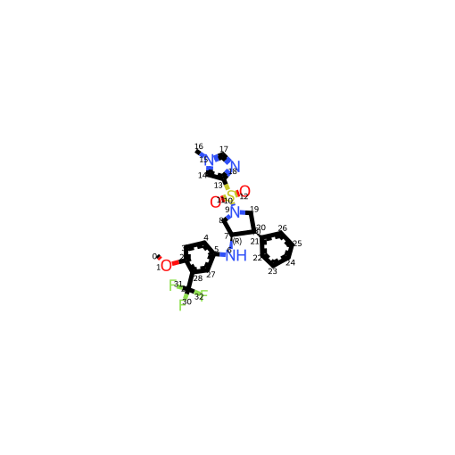 COc1ccc(N[C@H]2CN(S(=O)(=O)c3cn(C)cn3)C[C@@H]2c2ccccc2)cc1C(F)(F)F